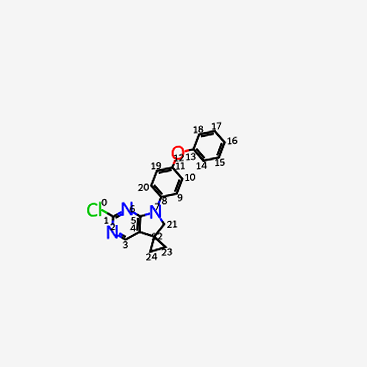 Clc1ncc2c(n1)N(c1ccc(Oc3ccccc3)cc1)CC21CC1